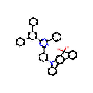 OC1(O)c2ccccc2-c2cc3c4ccccc4n(-c4cccc(-c5nc(-c6ccccc6)nc(-c6cc(-c7ccccc7)cc(-c7ccccc7)c6)n5)c4)c3cc21